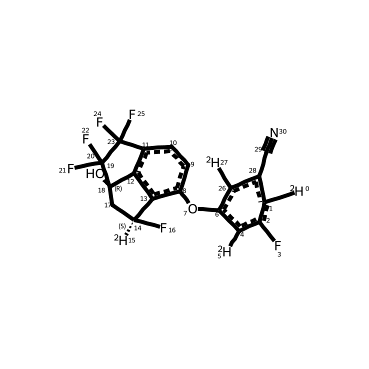 [2H]c1c(F)c([2H])c(Oc2ccc3c4c2[C@@]([2H])(F)C[C@]4(O)C(F)(F)C3(F)F)c([2H])c1C#N